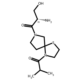 CC(C)C(=O)N1CCSC12CCN(C(=O)[C@@H](N)CO)C2